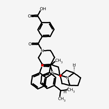 Cc1nc2ccccc2n1C1C[C@H]2CC[C@@H](C1)N2CCC1(c2cccc(C(C)C)c2)CCN(C(=O)c2cccc(C(=O)O)c2)CC1